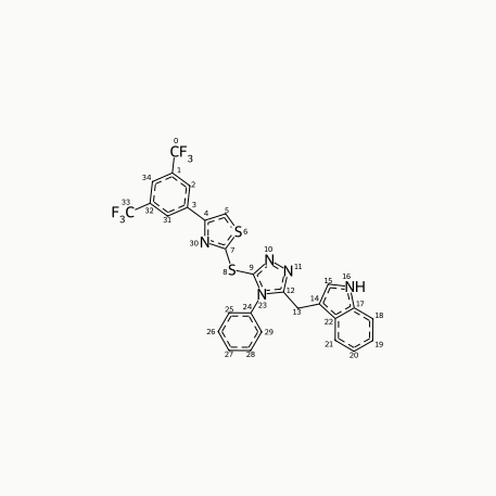 FC(F)(F)c1cc(-c2csc(Sc3nnc(Cc4c[nH]c5ccccc45)n3-c3ccccc3)n2)cc(C(F)(F)F)c1